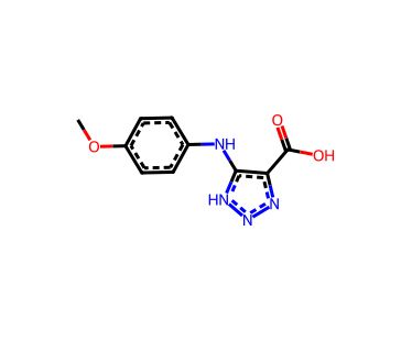 COc1ccc(Nc2[nH]nnc2C(=O)O)cc1